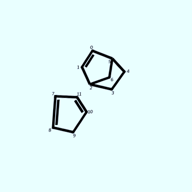 C1=CC2CCC1C2.C1=CCC=C1